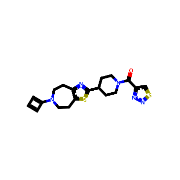 O=C(c1csnn1)N1CCC(c2nc3c(s2)CCN(C2=CC=C2)CC3)CC1